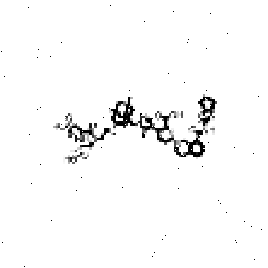 Cc1c(-c2ccc(N3CCc4cccc(C(=O)Nc5nc6ccccc6s5)c4C3)nc2C(=O)O)cnn1CC12CC3(C)CC(C)(C1)CC(OCCN(CCS(=O)(=O)O)C(=O)C(N)CS(=O)(=O)O)(C3)C2